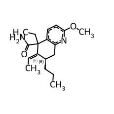 C/C=C1\[C@H](CCC)Cc2nc(OC)ccc2C1(CC)C(N)=O